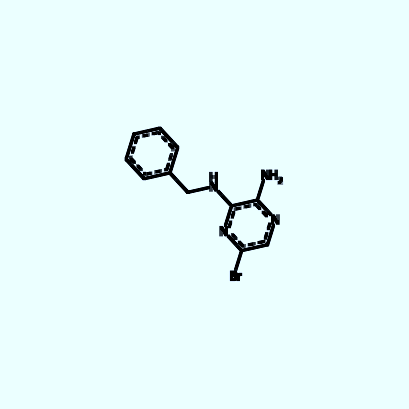 Nc1ncc(Br)nc1NCc1ccccc1